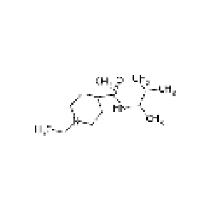 CCN1CCC(C)(C(=O)NC(C)C(C)C)CC1